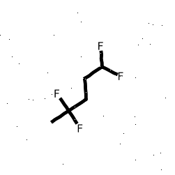 CC(F)(F)CCC(F)F